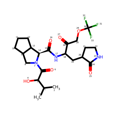 CC(C)C(O)C(=O)N1CC2CCCC2[C@H]1C(=O)NC(CC1CCNC1=O)C(=O)COC(F)(F)F